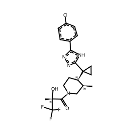 C[C@H]1CN(C(=O)[C@@](C)(O)C(F)(F)F)CC[C@H]1C1(c2nnc(-c3ccc(Cl)cc3)[nH]2)CC1